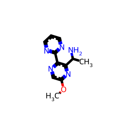 COc1cnc(-c2ncccn2)c(C(C)N)n1